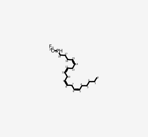 CCCCC/C=C\C/C=C\C/C=C\C/C=C\CCCPOF